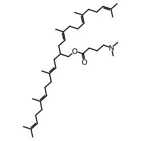 CC(C)=CCC/C(C)=C/CC/C(C)=C/CC(C/C=C(\C)CC/C=C(\C)CCC=C(C)C)COC(=O)CCCN(C)C